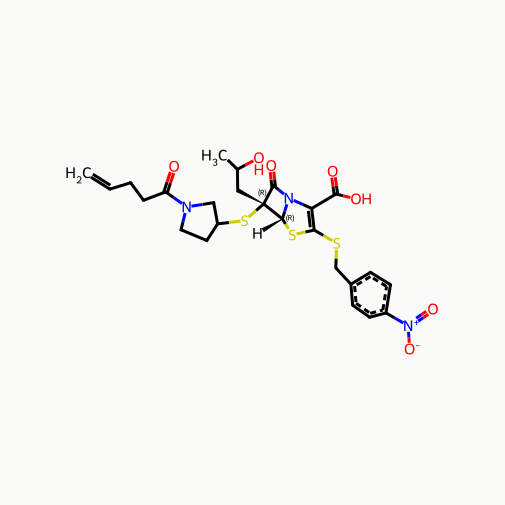 C=CCCC(=O)N1CCC(S[C@]2(CC(C)O)C(=O)N3C(C(=O)O)=C(SCc4ccc([N+](=O)[O-])cc4)S[C@@H]32)C1